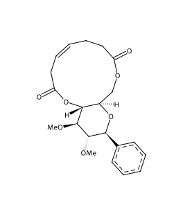 CO[C@@H]1[C@@H](OC)[C@H](c2ccccc2)O[C@@H]2COC(=O)CC/C=C\CC(=O)O[C@@H]12